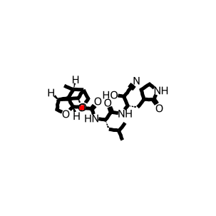 CC(C)C[C@H](NC(=O)O[C@H]1C2CO[C@@H]3OC[C@@H]1C3[C@H]2C)C(=O)N[C@@H](CC1CCNC1=O)C(O)C#N